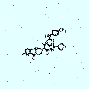 Cc1ccc(O)c(C(=O)N2CCN(c3c(C)n(CC(=O)Nc4ccc(C(F)(F)F)cc4)c4nc(C5=CCOCC5)nn4c3=O)CC2)n1